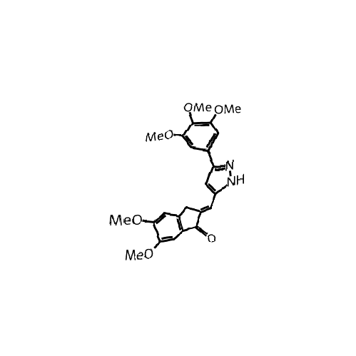 COc1cc2c(cc1OC)C(=O)/C(=C/c1cc(-c3cc(OC)c(OC)c(OC)c3)n[nH]1)C2